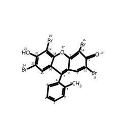 Cc1ccccc1-c1c2cc(Br)c(=O)c(Br)c-2oc2c(Br)c(O)c(Br)cc12